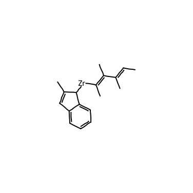 C/C=C(C)/C(C)=[C](\C)[Zr][CH]1C(C)=Cc2ccccc21